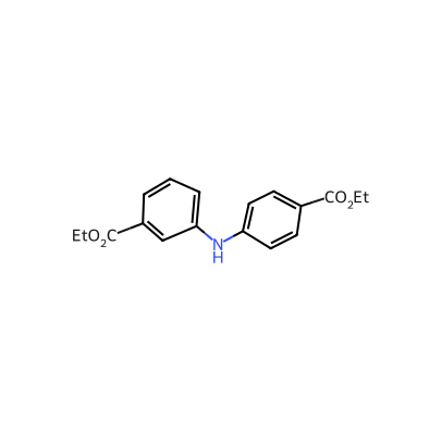 CCOC(=O)c1ccc(Nc2cccc(C(=O)OCC)c2)cc1